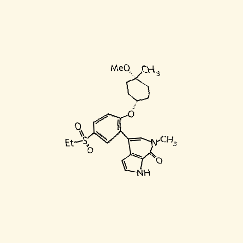 CCS(=O)(=O)c1ccc(O[C@H]2CC[C@@](C)(OC)CC2)c(-c2cn(C)c(=O)c3[nH]ccc23)c1